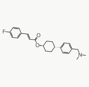 CN(C)Cc1ccc([C@H]2CC[C@H](OC(=O)C=Cc3ccc(F)cc3)CC2)cc1